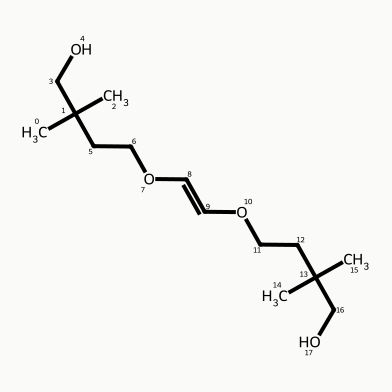 CC(C)(CO)CCOC=COCCC(C)(C)CO